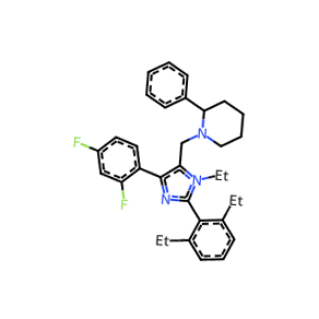 CCc1cccc(CC)c1-c1nc(-c2ccc(F)cc2F)c(CN2CCCCC2c2ccccc2)n1CC